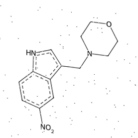 O=[N+]([O-])c1ccc2[nH]cc(CN3CCOCC3)c2c1